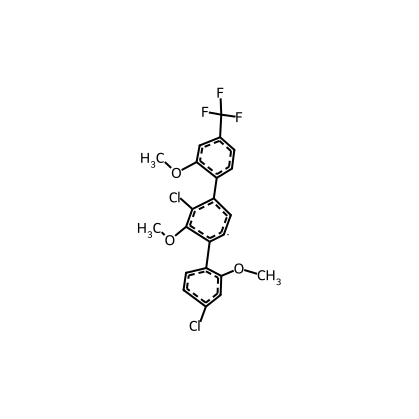 COc1cc(Cl)ccc1-c1[c]cc(-c2ccc(C(F)(F)F)cc2OC)c(Cl)c1OC